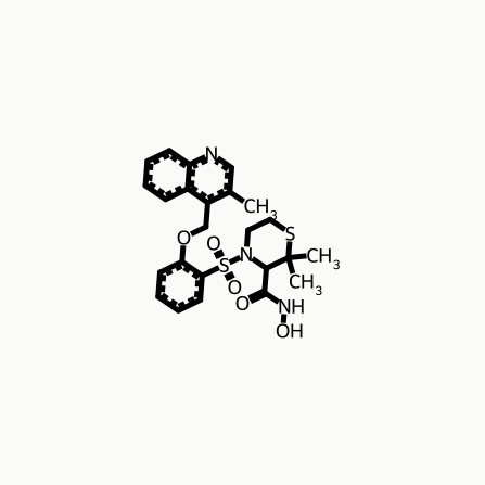 Cc1cnc2ccccc2c1COc1ccccc1S(=O)(=O)N1CCSC(C)(C)C1C(=O)NO